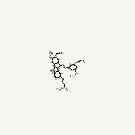 COc1cc(OC)cc(O/N=C2/c3cc(OC)c(OC)cc3-c3[nH]c4ccc(OCCN(C)C)cc4c32)c1.Cl